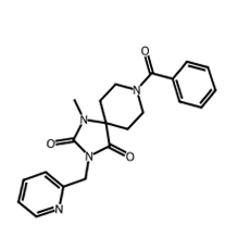 CN1C(=O)N(Cc2ccccn2)C(=O)C12CCN(C(=O)c1ccccc1)CC2